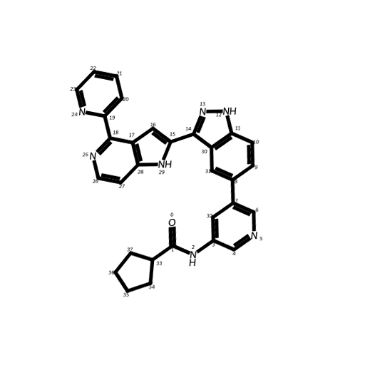 O=C(Nc1cncc(-c2ccc3[nH]nc(-c4cc5c(-c6ccccn6)nccc5[nH]4)c3c2)c1)C1CCCC1